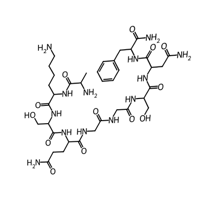 CC(N)C(=O)NC(CCCCN)C(=O)NC(CO)C(=O)NC(CCC(N)=O)C(=O)NCC(=O)NCC(=O)NC(CO)C(=O)NC(CC(N)=O)C(=O)NC(Cc1ccccc1)C(N)=O